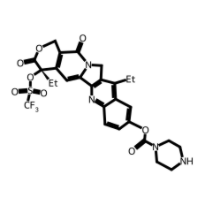 CCc1c2c(nc3ccc(OC(=O)N4CCNCC4)cc13)-c1cc3c(c(=O)n1C2)COC(=O)[C@@]3(CC)OS(=O)(=O)C(F)(F)F